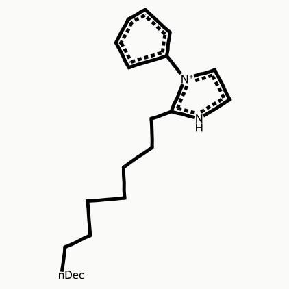 CCCCCCCCCCCCCCCCCc1[nH]cc[n+]1-c1ccccc1